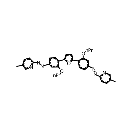 CCCOc1cc(N=Nc2ccc(C)cn2)ccc1-c1ccc(-c2ccc(N=Nc3ccc(C)cn3)cc2OCCC)o1